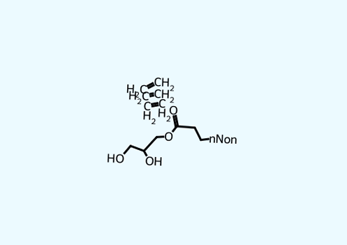 C=C.C=C.C=C.CCCCCCCCCCCC(=O)OCC(O)CO